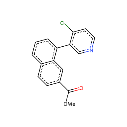 COC(=O)c1ccc2cccc(-c3cnccc3Cl)c2c1